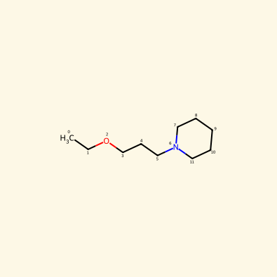 CCOCCCN1CCCCC1